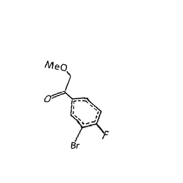 COCC(=O)c1ccc(F)c(Br)c1